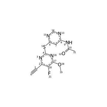 C#Cc1nc(Sc2cc(NC(C)=O)ncn2)nc(OC)c1F